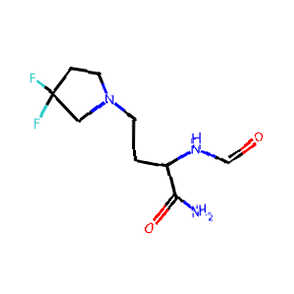 NC(=O)C(CCN1CCC(F)(F)C1)NC=O